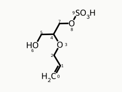 C=CCOC(CO)COS(=O)(=O)O